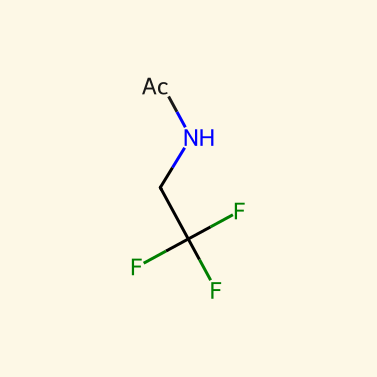 CC(=O)NCC(F)(F)F